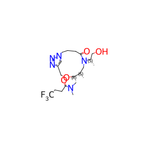 C[C@H]1CN([C@@H](C)CO)C(=O)CCCn2cc(nn2)CO[C@H]1CN(C)C(=O)CCC(F)(F)F